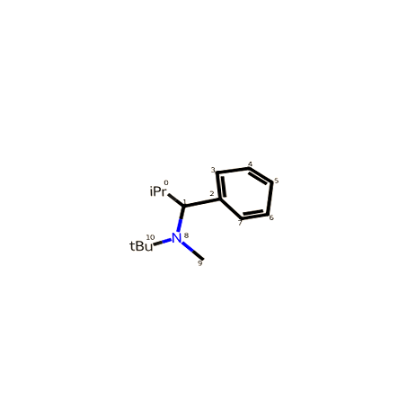 CC(C)C(c1ccccc1)N(C)C(C)(C)C